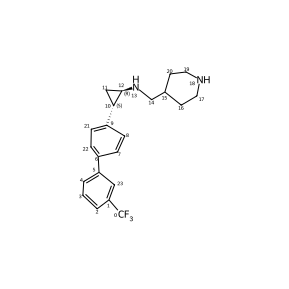 FC(F)(F)c1cccc(-c2ccc([C@@H]3C[C@H]3NCC3CCNCC3)cc2)c1